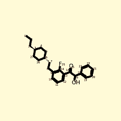 CCC[C@H]1CC[C@H](CCc2cccc(C(=O)C(O)c3ccccc3)c2F)CC1